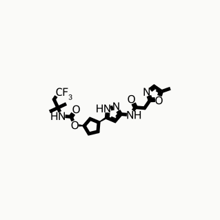 Cc1cnc(CC(=O)Nc2cc([C@H]3CC[C@@H](OC(=O)NC(C)(C)CC(F)(F)F)C3)[nH]n2)o1